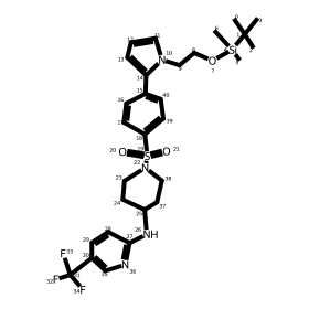 CC(C)(C)[Si](C)(C)OCCn1cccc1-c1ccc(S(=O)(=O)N2CCC(Nc3ccc(C(F)(F)F)cn3)CC2)cc1